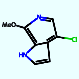 COc1ncc(Cl)c2cc[nH]c12